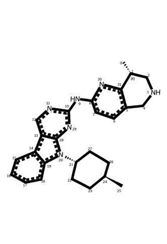 C[C@@H]1CNCc2ccc(Nc3ncc4c5ccccc5n([C@H]5CC[C@H](C)CC5)c4n3)nc21